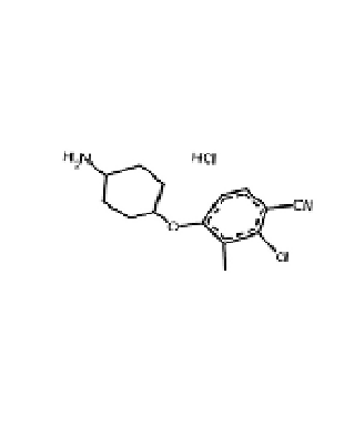 Cc1c(OC2CCC(N)CC2)ccc(C#N)c1Cl.Cl